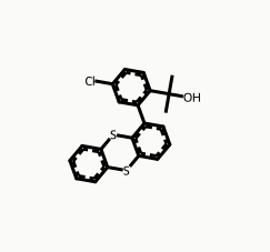 CC(C)(O)c1ccc(Cl)cc1-c1cccc2c1Sc1ccccc1S2